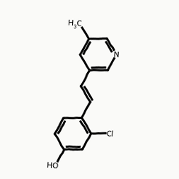 Cc1cncc(/C=C/c2ccc(O)cc2Cl)c1